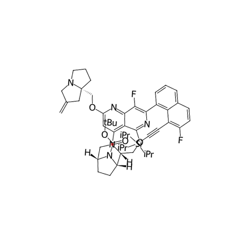 C=C1CN2CCC[C@@]2(COc2cc3c4c(nc(-c5cccc6ccc(F)c(C#C[Si](C(C)C)(C(C)C)C(C)C)c56)c(F)c4n2)OC[C@@H]2[C@@H]4CC[C@H](CN32)N4C(=O)OC(C)(C)C)C1